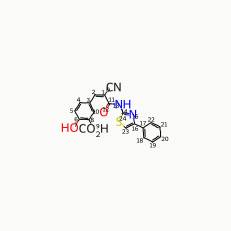 N#CC(=Cc1ccc(O)c(C(=O)O)c1)C(=O)Nc1nc(-c2ccccc2)cs1